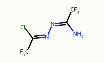 NC(=NN=C(Cl)C(F)(F)F)C(F)(F)F